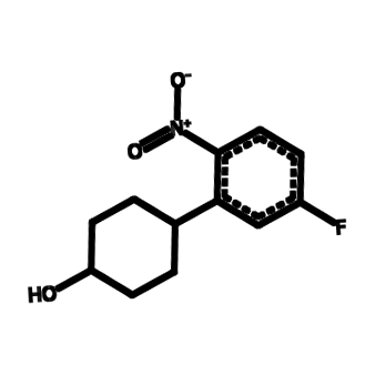 O=[N+]([O-])c1ccc(F)cc1C1CCC(O)CC1